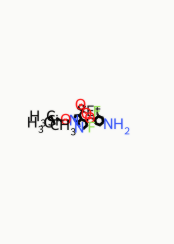 CCOC1(c2cn(COCC[Si](C)(C)C)c3nccc(Oc4c(F)cc(N)cc4F)c23)COC1